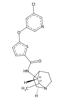 C[C@H]1[C@H](NC(=O)c2ccc(Oc3cncc(Cl)c3)s2)C2CCN1CC2